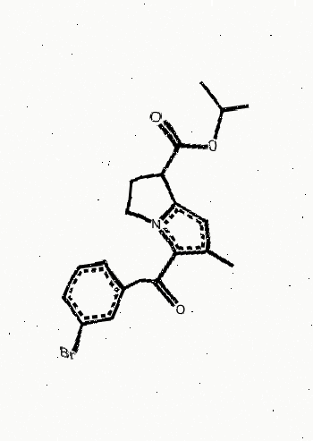 Cc1cc2n(c1C(=O)c1cccc(Br)c1)CCC2C(=O)OC(C)C